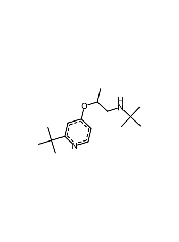 CC(CNC(C)(C)C)Oc1ccnc(C(C)(C)C)c1